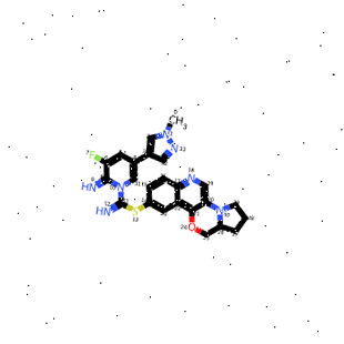 Cn1cc(-c2cc(F)c(=N)n(C(=N)Sc3ccc4ncc5c(c4c3)OCC3CCCN53)c2)cn1